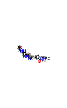 CC(=O)N1CCN(C(=O)c2cccc(CSc3cnc(NC(=O)c4ccc(CNCC5CCCO5)cc4)s3)c2)CC1